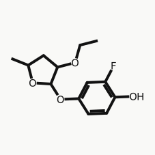 CCOC1CC(C)OC1Oc1ccc(O)c(F)c1